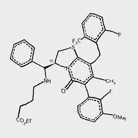 CCOC(=O)CCCNC(c1ccccc1)[C@H]1CSc2c(Cc3c(F)cccc3C(F)(F)F)c(C)c(-c3cccc(OC)c3F)c(=O)n21